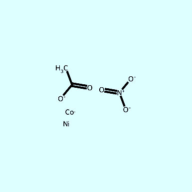 CC(=O)[O-].O=[N+]([O-])[O-].[Co].[Ni]